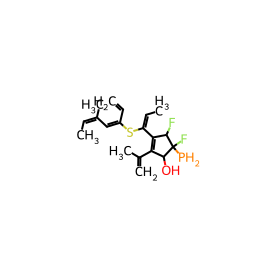 C=C/C(=C\C(C)=C/C)S/C(=C/C)C1=C(C(=C)C)C(O)C(F)(P)C1F